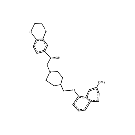 COc1ccc2cccc(OCC3CCN(C[C@H](O)c4ccc5c(c4)OCCO5)CC3)c2c1